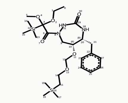 CCOC(OC)(C(=O)N1C[C@@H](OCOCC[Si](C)(C)C)[C@@H](Cc2ccccc2)NC(=O)N1)[Si](C)(C)C